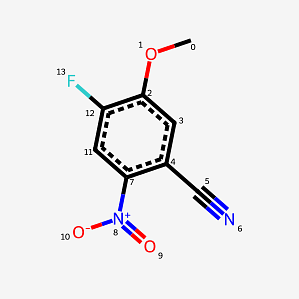 COc1cc(C#N)c([N+](=O)[O-])cc1F